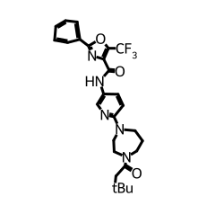 CC(C)(C)CC(=O)N1CCCN(c2ccc(NC(=O)c3nc(-c4ccccc4)oc3C(F)(F)F)cn2)CC1